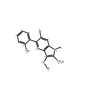 CCc1cc2c(nc1-c1ccccc1O)c(OC(C)C)c(C(=O)O)n2C